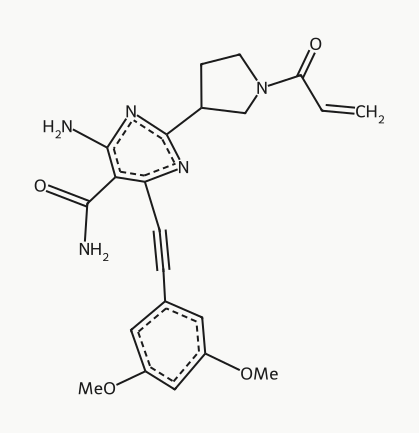 C=CC(=O)N1CCC(c2nc(N)c(C(N)=O)c(C#Cc3cc(OC)cc(OC)c3)n2)C1